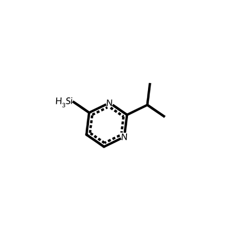 CC(C)c1nccc([SiH3])n1